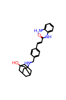 Nc1ccccc1NC(=O)/C=C/c1ccc(CNC23CC4CC(CC(O)(C4)C2)C3)cc1